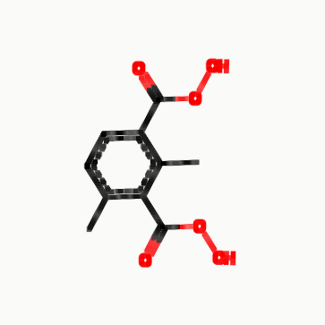 Cc1ccc(C(=O)OO)c(C)c1C(=O)OO